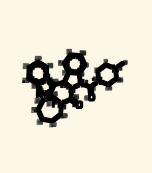 CN1CCN(C(=O)N2c3ccccc3C(c3c(F)nc4ccccn34)N2C(=O)N2CCCCCC2)CC1